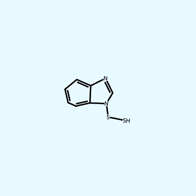 SSn1cnc2ccccc21